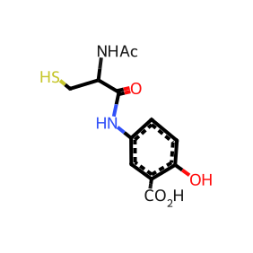 CC(=O)NC(CS)C(=O)Nc1ccc(O)c(C(=O)O)c1